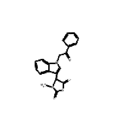 CN1C(=O)SC(=O)C1c1cn(CC(=O)c2ccccc2)c2ccccc12